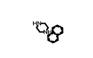 C1CNCCN1.c1ccc2ccccc2c1